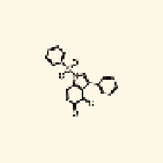 O=C1C=Cc2c(c(-c3ccccc3)cn2S(=O)(=O)c2ccccc2)C1=O